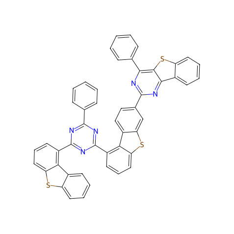 c1ccc(-c2nc(-c3cccc4sc5ccccc5c34)nc(-c3cccc4sc5cc(-c6nc(-c7ccccc7)c7sc8ccccc8c7n6)ccc5c34)n2)cc1